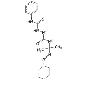 CC(C)(N=NC1CCCCC1)NC(=O)NNC(=S)Nc1ccccc1